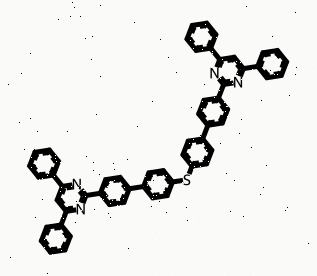 c1ccc(-c2cc(-c3ccccc3)nc(-c3ccc(-c4ccc(Sc5ccc(-c6ccc(-c7nc(-c8ccccc8)cc(-c8ccccc8)n7)cc6)cc5)cc4)cc3)n2)cc1